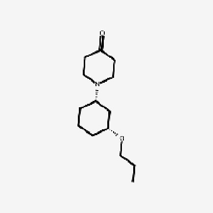 CCCO[C@@H]1CCC[C@H](N2CCC(=O)CC2)C1